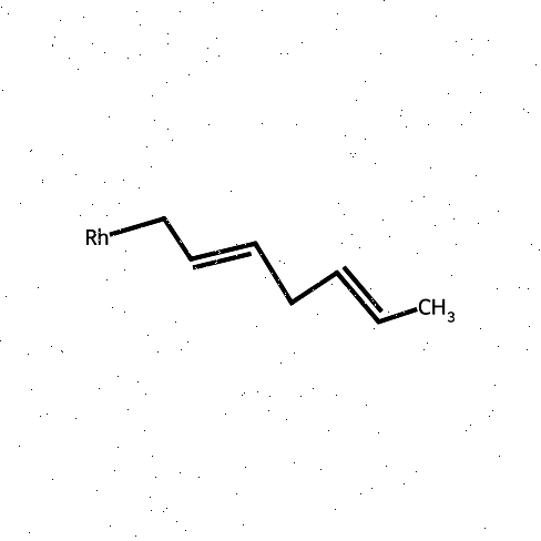 CC=CCC=C[CH2][Rh]